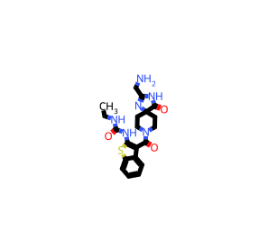 CCNC(=O)Nc1sc2ccccc2c1C(=O)N1CCC2(CC1)N=C(CN)NC2=O